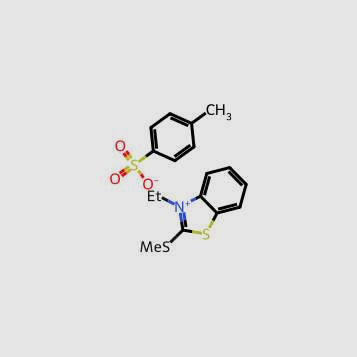 CC[n+]1c(SC)sc2ccccc21.Cc1ccc(S(=O)(=O)[O-])cc1